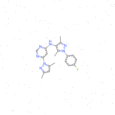 Cc1cc(C)n(-c2cc(Nc3c(C)nn(-c4ccc(F)cc4)c3C)ncn2)n1